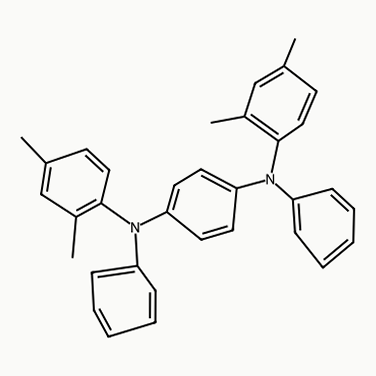 Cc1ccc(N(c2ccccc2)c2ccc(N(c3ccccc3)c3ccc(C)cc3C)cc2)c(C)c1